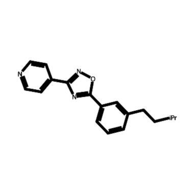 CC(C)CCc1cccc(-c2nc(-c3ccncc3)no2)c1